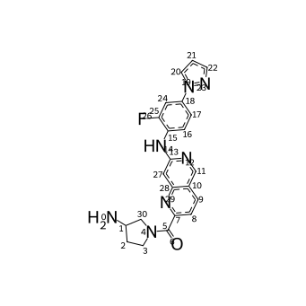 NC1CCN(C(=O)c2ccc3cnc(Nc4ccc(-n5cccn5)cc4F)cc3n2)C1